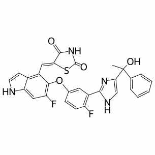 CC(O)(c1ccccc1)c1c[nH]c(-c2cc(Oc3c(F)cc4[nH]ccc4c3C=C3SC(=O)NC3=O)ccc2F)n1